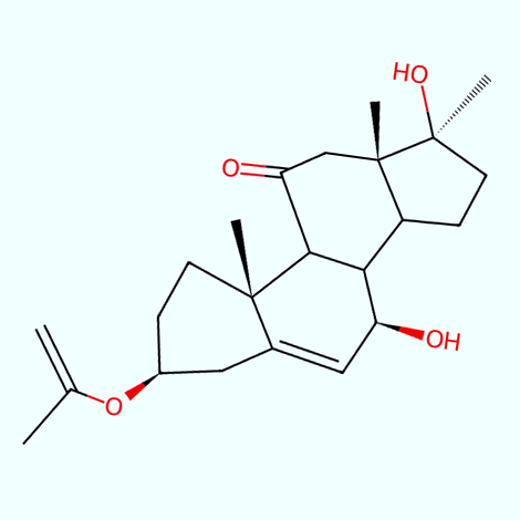 C=C(C)O[C@H]1CC[C@@]2(C)C(=C[C@H](O)C3C2C(=O)C[C@@]2(C)C3CC[C@]2(C)O)C1